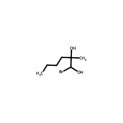 CCCCC(C)(O)C(O)Br